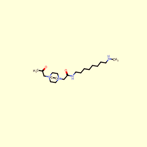 CNCCCCCCCCNC(=O)C[N+]12CC[N+](CC(C)=O)(CC1)CC2